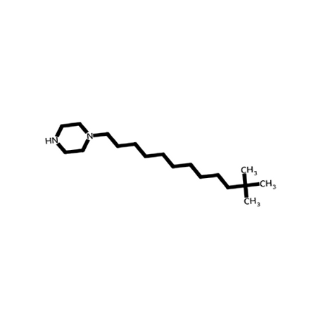 CC(C)(C)CCCCCCCCCCN1CCNCC1